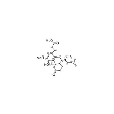 CC[C@@]12CC(=O)CCC1C(N(C)CC1CC1)Cc1c(CCC(=O)OC)cc(OC)c(O)c12